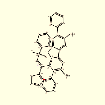 CC(C)(C)c1cc2c(cc1-c1ccccc1)Cc1c-2cc(C(C)(C)C)c(-c2ccccc2)[c]1/[Zr](=[CH]\C(C)(C)c1ccccc1)[C]1=CC=CC1